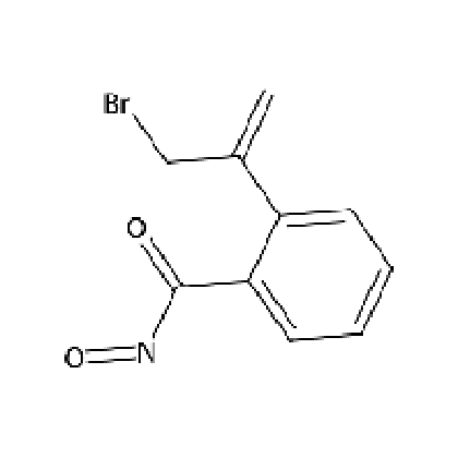 C=C(CBr)c1ccccc1C(=O)N=O